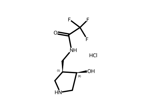 Cl.O=C(NC[C@@H]1CNC[C@@H]1O)C(F)(F)F